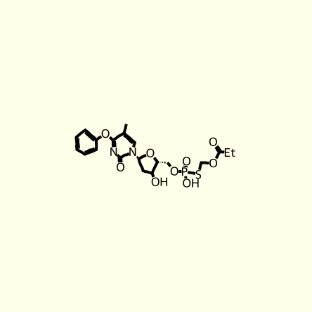 CCC(=O)OCSP(=O)(O)OC[C@H]1O[C@@H](n2cc(C)c(Oc3ccccc3)nc2=O)CC1O